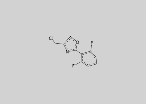 Fc1cccc(F)c1-c1nc(CCl)co1